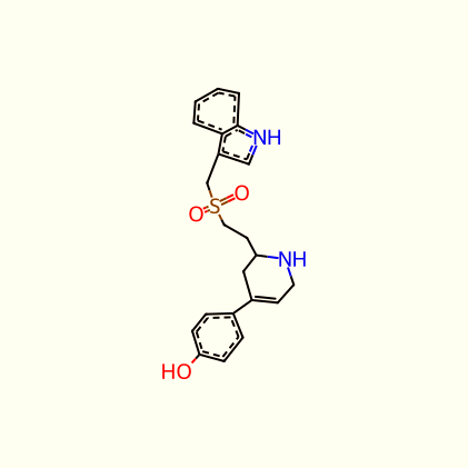 O=S(=O)(CCC1CC(c2ccc(O)cc2)=CCN1)Cc1c[nH]c2ccccc12